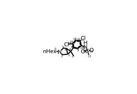 CCCCCCN1CC2C(C1)C2(C)c1cc(NS(C)(=O)=O)c(Cl)cc1Cl